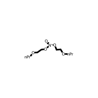 CCCOCCO[N+](=O)OCCOCCC